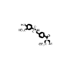 CC(=O)CN(CC(=O)O)C(=O)c1ccc(CNS(=O)(=O)c2ccc(O)c(C(=O)O)c2)cc1